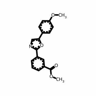 COC(=O)c1cccc(-c2ncc(-c3ccc(OC)cc3)o2)c1